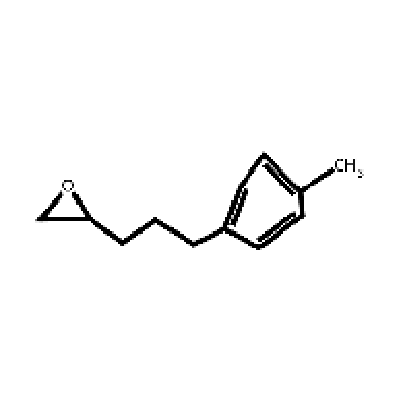 Cc1ccc(CCCC2CO2)cc1